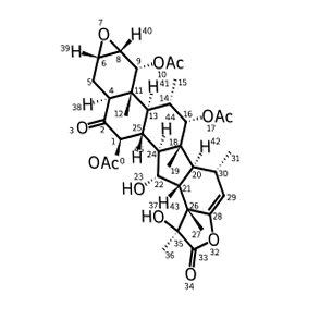 CC(=O)O[C@H]1C(=O)[C@H]2C[C@@H]3O[C@@H]3[C@H](OC(C)=O)[C@]2(C)[C@H]2[C@H](C)[C@H](OC(C)=O)[C@]3(C)[C@@H]4[C@@H]([C@H](O)[C@H]3[C@@H]21)[C@]1(C)C(=C[C@H]4C)OC(=O)[C@@]1(C)O